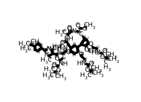 COC(=O)[C@@H]1Cc2cc(OCCNC(=O)OC(C)(C)C)c(OC)c(c2)-c2cc(ccc2OCCNC(=O)OC(C)(C)C)[C@H](N(C)C(=O)[C@H](CCNC(=O)OC(C)(C)C)NC(=O)c2c(C)nc(-c3ccc(C(C)(C)C)cc3)nc2C)C(=O)N[C@@H](C)C(=O)N1